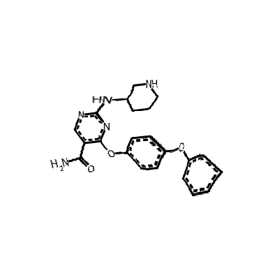 NC(=O)c1cnc(NC2CCCNC2)nc1Oc1ccc(Oc2ccccc2)cc1